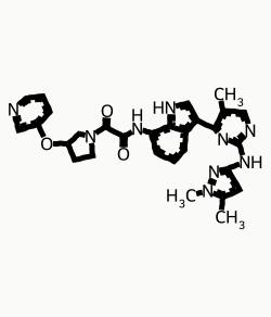 Cc1cnc(Nc2cc(C)n(C)n2)nc1-c1c[nH]c2c(NC(=O)C(=O)N3CCC(Oc4cccnc4)C3)cccc12